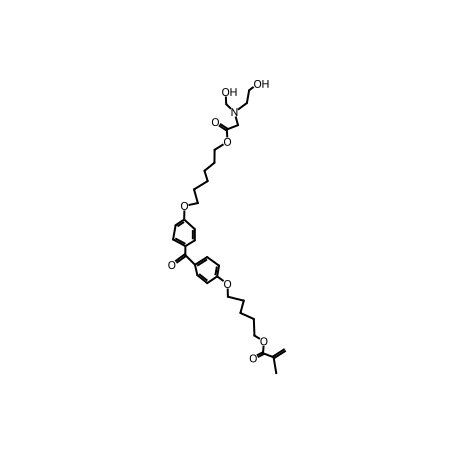 C=C(C)C(=O)OCCCCCOc1ccc(C(=O)c2ccc(OCCCCCCOC(=O)CN(CO)CCO)cc2)cc1